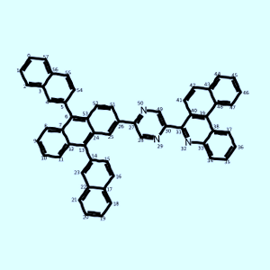 c1ccc2cc(-c3c4ccccc4c(-c4ccc5ccccc5c4)c4cc(-c5cnc(-c6nc7ccccc7c7c6ccc6ccccc67)cn5)ccc34)ccc2c1